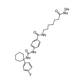 O=C(CCCCCCNC(=O)c1ccc(NC(=O)NC2(c3ccc(F)cc3)CCCCC2)cc1)NO